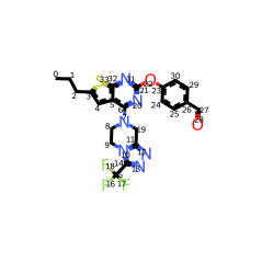 CCCc1cc2c(N3CCn4c(nnc4C(F)(F)F)C3)nc(Oc3ccc(C=O)cc3)nc2s1